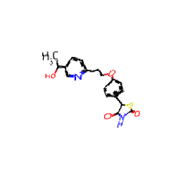 CC(O)c1ccc(CCOc2ccc(C3SC(=O)NC3=O)cc2)nc1